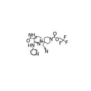 N#CCC1(N2CC=C(C(N)=O)C(Nc3cccnc3)=N2)CCN(C(=O)OCC(F)(F)F)CC1